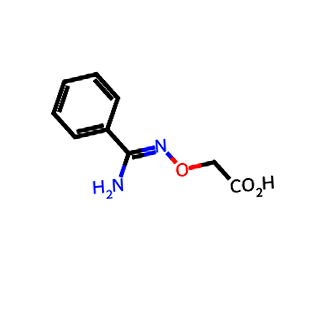 NC(=NOCC(=O)O)c1ccccc1